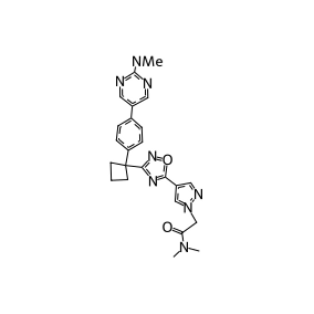 CNc1ncc(-c2ccc(C3(c4noc(-c5cnn(CC(=O)N(C)C)c5)n4)CCC3)cc2)cn1